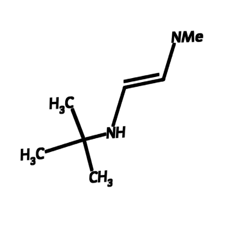 CN/C=C/NC(C)(C)C